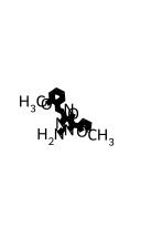 COc1ccccc1Cc1noc2c(-c3ccc(C)o3)nc(N)nc12